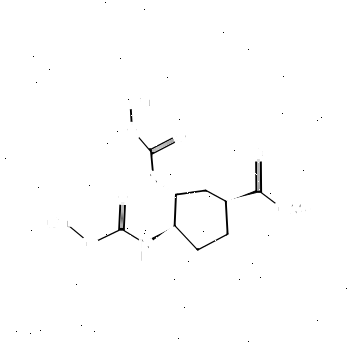 COC(=O)[C@H]1CC[C@@H](NC(=O)OC(C)(C)C)[C@H](NC(=O)OC(C)(C)C)C1